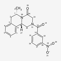 C[C@H]1Cc2ccccc2[C@H]2CN(C(=O)c3cccc([N+](=O)[O-])c3)CC(=O)N21